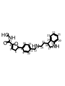 O=C(NO)C1=CCC(c2ccc(CNCCC3CNc4ccccc43)cc2)O1